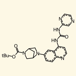 CC(C)(C)OC(=O)N1CC2CC1CN2c1ccc2nccc(NC(=O)Nc3cnccn3)c2c1